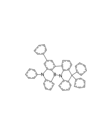 c1ccc(-c2cc3c4c(c2)N(c2ccccc2)c2ccccc2B4N2c4ccccc4C(c4ccccc4)(c4ccccc4)c4cccc-3c42)cc1